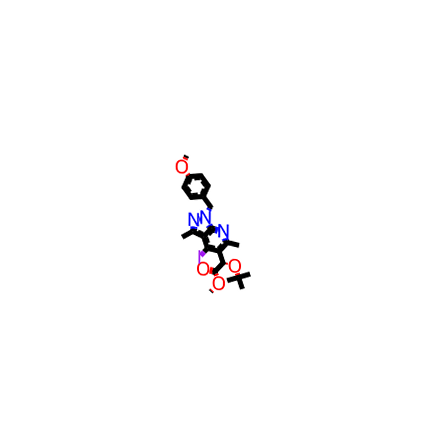 COC(=O)[C@@H](OC(C)(C)C)c1c(C)nc2c(c(C)nn2Cc2ccc(OC)cc2)c1I